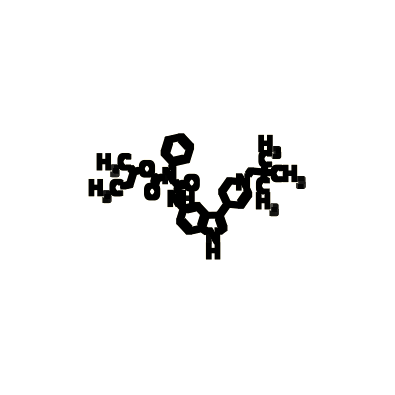 CCC(C)OC(=O)N(C(=O)Nc1ccc2[nH]cc(C3C=CN(CC(C)(C)C)CC3)c2c1)c1ccccc1